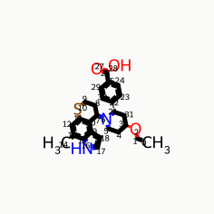 CCO[C@H]1CCN(C2CCSc3cc(C)c4[nH]ccc4c32)[C@H](c2ccc(C(=O)O)cc2)C1